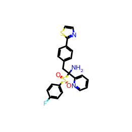 NC(Cc1ccc(-c2nccs2)cc1)(c1ccccn1)S(=O)(=O)c1ccc(F)cc1